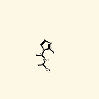 Cc1nccn1C(C)NC(C)C#N